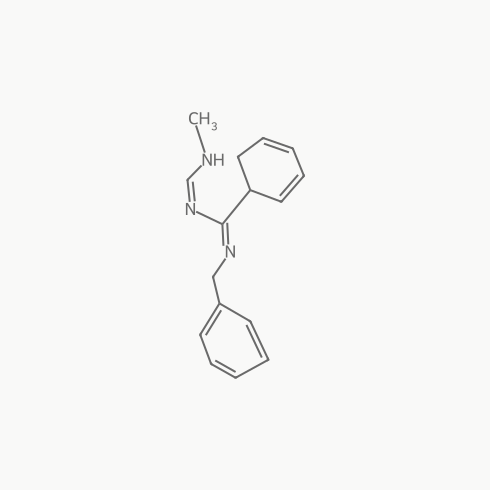 CN/C=N\C(=N/Cc1ccccc1)C1C=CC=CC1